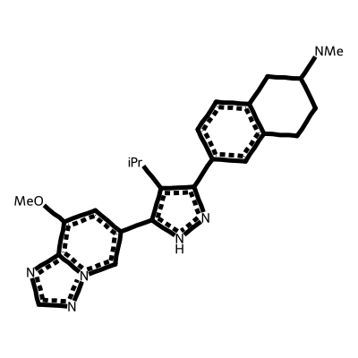 CNC1CCc2cc(-c3n[nH]c(-c4cc(OC)c5ncnn5c4)c3C(C)C)ccc2C1